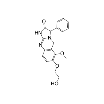 COc1c(OCCO)ccc2c1CN1C(=N2)NC(=O)C1c1ccccc1